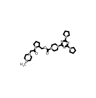 CN1CCN(CC(=O)N2CCCC2COC(=O)N2CCN(c3nc(N4CCCC4)nc(N4CCCC4)n3)CC2)CC1